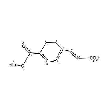 CC(C)(C)OC(=O)c1ccc(C=CC(=O)O)nc1